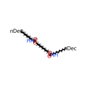 CCCCCCCCCCCCCCCCCCNC(=O)OCCCCCCCCCCOC(=O)NCCCCCCCCCCCCCCCCCC